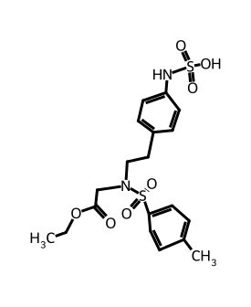 CCOC(=O)CN(CCc1ccc(NS(=O)(=O)O)cc1)S(=O)(=O)c1ccc(C)cc1